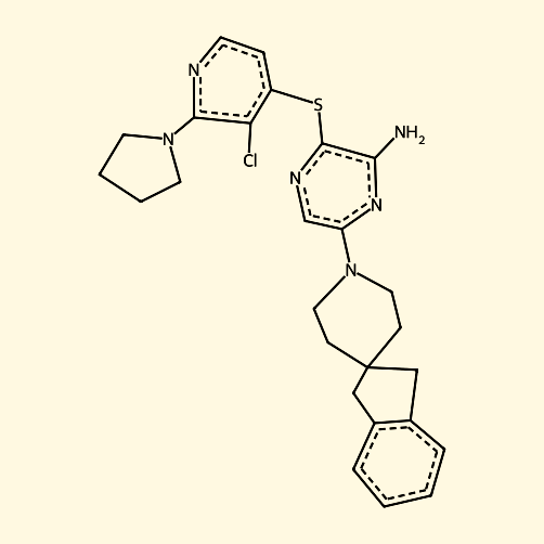 Nc1nc(N2CCC3(CC2)Cc2ccccc2C3)cnc1Sc1ccnc(N2CCCC2)c1Cl